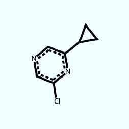 Clc1cncc(C2CC2)n1